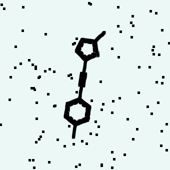 Cc1ccc(C#Cc2ccc(C)s2)cc1